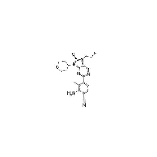 Cc1c(-c2ncc3c(n2)n(C2CCOCC2)c(=O)n3CCF)ccc(C#N)c1N